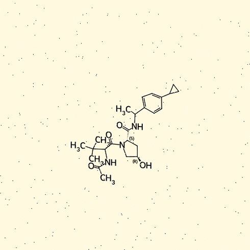 CC(=O)NC(C(=O)N1C[C@H](O)C[C@H]1C(=O)NC(C)c1ccc(C2CC2)cc1)C(C)(C)C